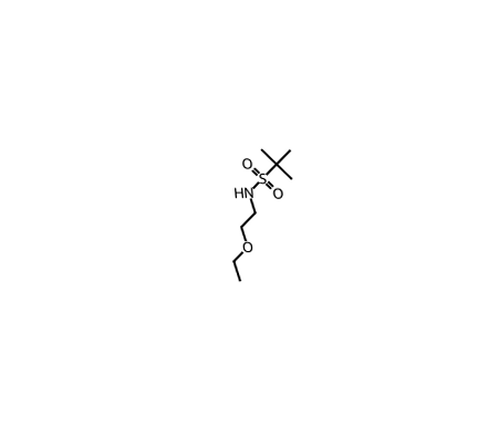 CCOCCNS(=O)(=O)C(C)(C)C